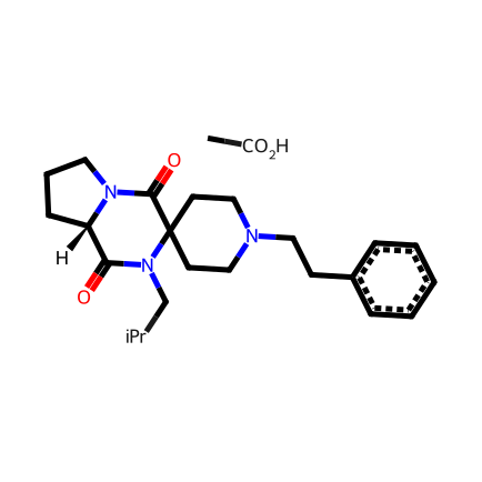 CC(=O)O.CC(C)CN1C(=O)[C@@H]2CCCN2C(=O)C12CCN(CCc1ccccc1)CC2